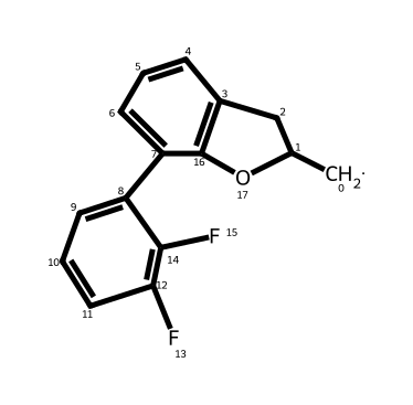 [CH2]C1Cc2cccc(-c3cccc(F)c3F)c2O1